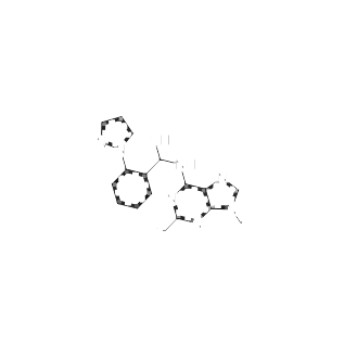 CC(Nc1nc(Cl)nc2c1ncn2C(C)C)c1ccccc1-n1cccn1